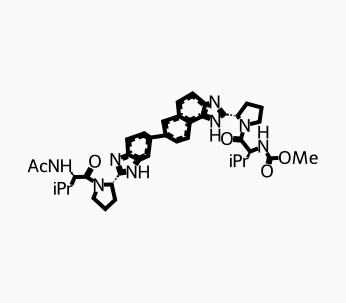 COC(=O)N[C@H](C(=O)N1CCC[C@H]1c1nc2ccc3cc(-c4ccc5nc([C@@H]6CCCN6C(=O)[C@@H](NC(C)=O)C(C)C)[nH]c5c4)ccc3c2[nH]1)C(C)C